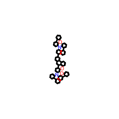 c1ccc(-c2ccccc2N(c2ccc(-c3ccc4cc5c6c(cccc6c4c3)Oc3cc(N(c4ccccc4-c4ccccc4)c4cccc6c4oc4ccccc46)ccc3-5)cc2)c2cccc3c2oc2ccccc23)cc1